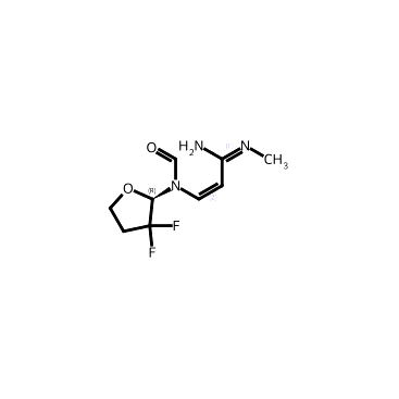 C/N=C(N)\C=C/N(C=O)[C@@H]1OCCC1(F)F